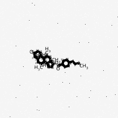 CCCCC1CCC(C(=O)O[C@H]2CC=C3[C@H]4[C@H]([C@@H](C)C[C@@]32C)[C@H]2CCC(=O)C=C2C[C@H]4C)CC1